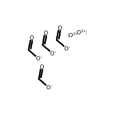 O=C[O-].O=C[O-].O=C[O-].O=C[O-].[O+2].[O+2]